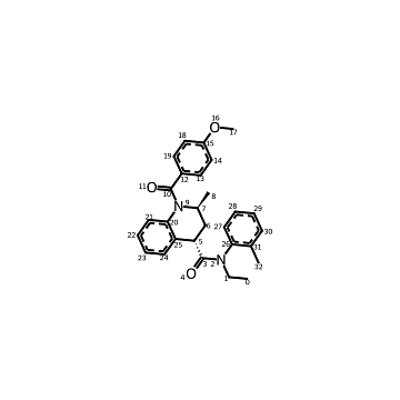 CCN(C(=O)[C@H]1C[C@H](C)N(C(=O)c2ccc(OC)cc2)c2ccccc21)c1ccccc1C